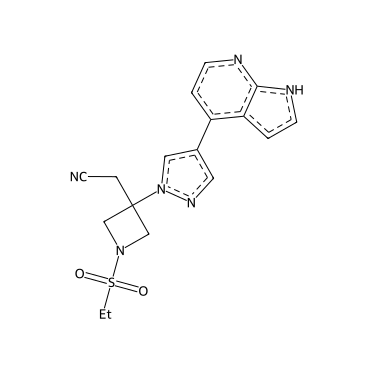 CCS(=O)(=O)N1CC(CC#N)(n2cc(-c3ccnc4[nH]ccc34)cn2)C1